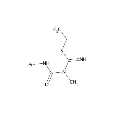 CC(C)NC(=O)N(C)C(=N)SCC(F)(F)F